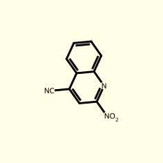 N#Cc1cc([N+](=O)[O-])nc2ccccc12